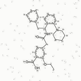 CCOc1cc(CC(=O)NC(Cc2ccccc2)c2ccccc2N2CCCCC2)ccc1C(=O)O